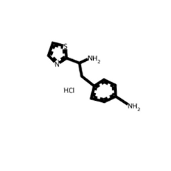 Cl.Nc1ccc(CC(N)c2nccs2)cc1